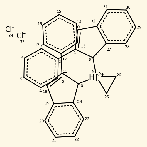 C1=C(c2ccccc2)[CH]([Hf+2]2([CH]3C(c4ccccc4)=Cc4ccccc43)[CH2][CH2]2)c2ccccc21.[Cl-].[Cl-]